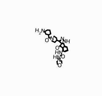 NC1CCCC(C(=O)N2CCC(c3n[nH]c4c3C(=O)c3c(NC(=O)NN5CCOCC5)cccc3-4)CC2)C1